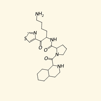 NCCCCC(NC(=O)C1CCCN1C(=O)C1NCCC2CCCCC21)C(=O)c1cs[c]n1